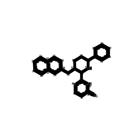 O=c1ccnc(C2NC(c3ccccc3)CCC2Cc2ccc3ccccc3c2)[nH]1